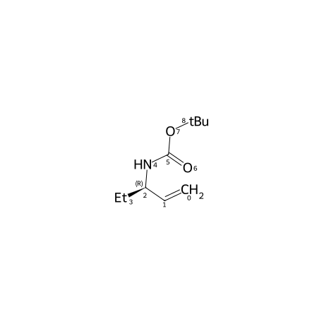 C=C[C@@H](CC)NC(=O)OC(C)(C)C